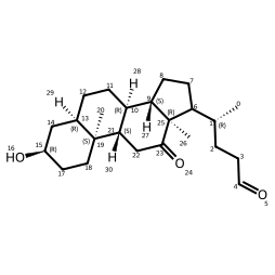 C[C@H](CCC=O)C1CC[C@H]2[C@@H]3CC[C@@H]4C[C@H](O)CC[C@]4(C)[C@H]3CC(=O)[C@]12C